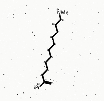 C=C(CCCCCCCCCCNC)C(C)C